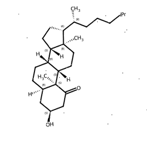 CC(C)CCC[C@@H](C)[C@H]1CC[C@H]2[C@H]3CC[C@@H]4C[C@H](O)CC(=O)[C@]4(C)[C@H]3CC[C@]12C